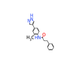 Cc1cc(-c2cn[nH]c2)ccc1NC(=O)CCc1ccccc1